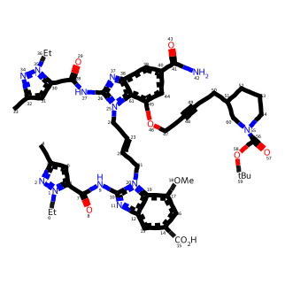 CCn1nc(C)cc1C(=O)Nc1nc2cc(C(=O)O)cc(OC)c2n1CC=CCn1c(NC(=O)c2cc(C)nn2CC)nc2cc(C(N)=O)cc(OCC#CCC3CCCN(C(=O)OC(C)(C)C)C3)c21